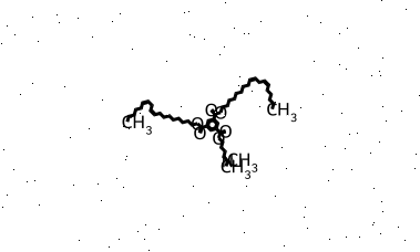 CCCCC/C=C\C/C=C\CCCCCCCCOC(=O)c1cc(C(=O)OCCCCCCCC/C=C\C/C=C\CCCCC)cc(C(=O)OCCCCN(C)C)c1